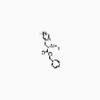 NC(Cc1c[nH]cn1)C(=O)OCc1ccccc1